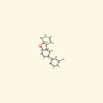 Cc1cccc(-c2ccc3oc4c(c3c2)C=CCC4)c1